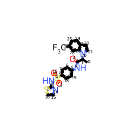 CC(C(=O)Nc1ccc(S(=O)(=O)Nc2nccs2)cc1)n1ccc2ccc(C(F)(F)F)cc21